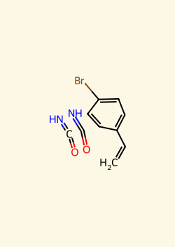 C=Cc1ccc(Br)cc1.N=C=O.N=C=O